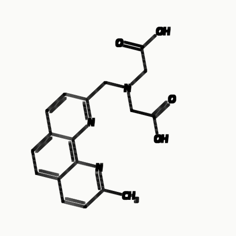 Cc1ccc2ccc3ccc(CN(CC(=O)O)CC(=O)O)nc3c2n1